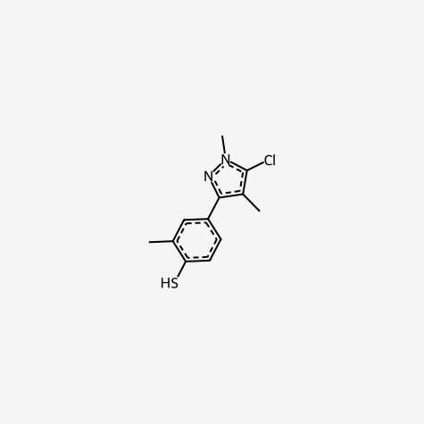 Cc1cc(-c2nn(C)c(Cl)c2C)ccc1S